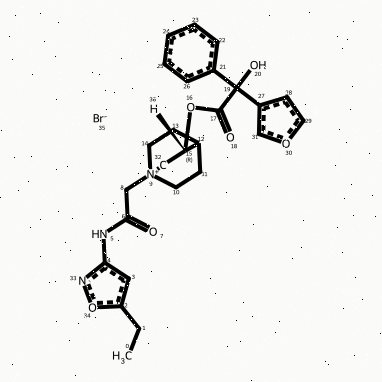 CCc1cc(NC(=O)C[N+]23CCC(CC2)[C@@H](OC(=O)C(O)(c2ccccc2)c2ccoc2)C3)no1.[Br-]